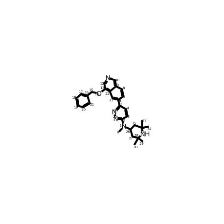 CN(c1ccc(-c2ccc3cncc(OCc4ccccc4)c3c2)nn1)C1CC(C)(C)NC(C)(C)C1